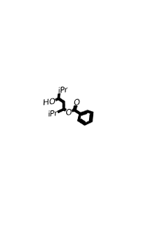 CC(C)C(O)CC(OC(=O)c1ccccc1)C(C)C